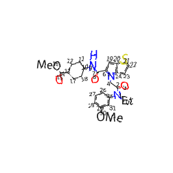 CCN(C(=O)Cn1c(C(=O)NC2CCC(C(=O)OC)CC2)cc2sccc21)c1cccc(OC)c1